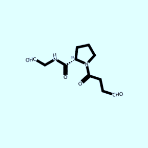 O=CCCC(=O)N1CCC[C@H]1C(=O)NCC=O